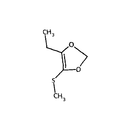 CCC1=C(SC)OCO1